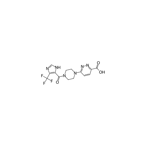 O=C(O)c1ccc(N2CCN(C(=O)c3[nH]cnc3C(F)(F)F)CC2)nn1